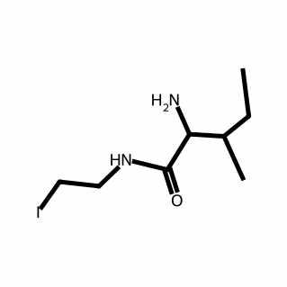 CCC(C)C(N)C(=O)NCCI